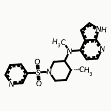 C[C@@H]1CCN(S(=O)(=O)c2cccnc2)CC1N(C)c1ccnc2[nH]ccc12